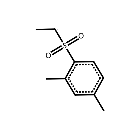 C[CH]S(=O)(=O)c1ccc(C)cc1C